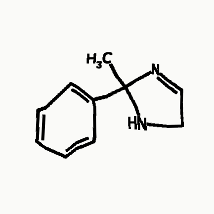 CC1(c2ccccc2)N=CCN1